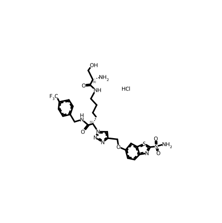 Cl.N[C@@H](CO)C(=O)NCCCC[C@@H](C(=O)NCc1ccc(C(F)(F)F)cc1)n1cc(COc2ccc3nc(S(N)(=O)=O)sc3c2)nn1